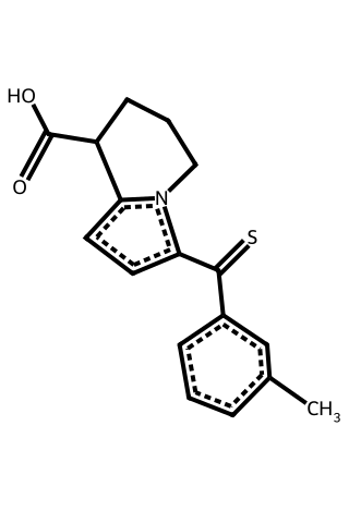 Cc1cccc(C(=S)c2ccc3n2CCCC3C(=O)O)c1